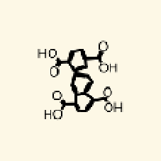 O=C(O)c1ccc(C(=O)O)c2ccccc12.O=C(O)c1ccc(C(=O)O)cc1